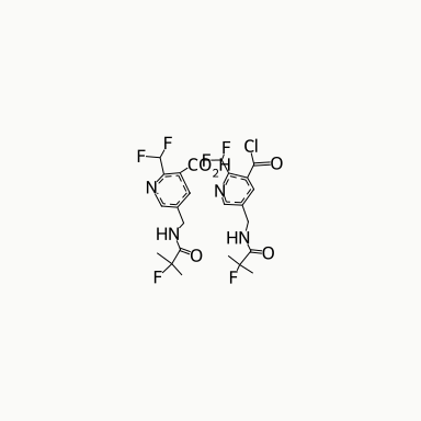 CC(C)(F)C(=O)NCc1cnc(C(F)F)c(C(=O)Cl)c1.CC(C)(F)C(=O)NCc1cnc(C(F)F)c(C(=O)O)c1